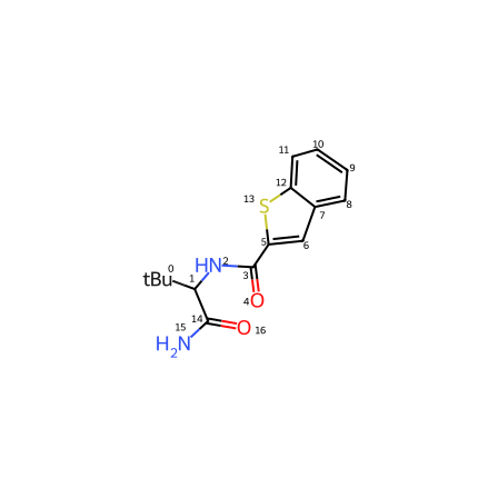 CC(C)(C)C(NC(=O)c1cc2ccccc2s1)C(N)=O